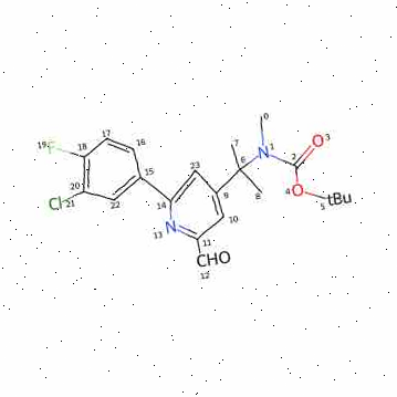 CN(C(=O)OC(C)(C)C)C(C)(C)c1cc(C=O)nc(-c2ccc(F)c(Cl)c2)c1